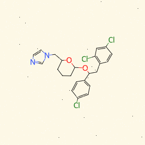 Clc1ccc(C(Cc2ccc(Cl)cc2Cl)OC2CCCC(Cn3ccnc3)O2)cc1